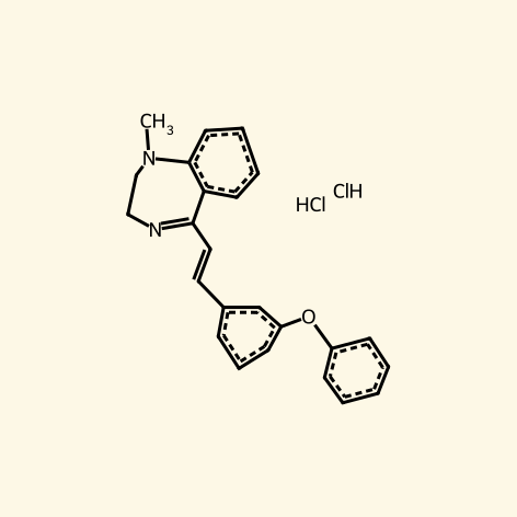 CN1CCN=C(/C=C/c2cccc(Oc3ccccc3)c2)c2ccccc21.Cl.Cl